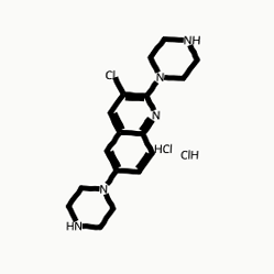 Cl.Cl.Clc1cc2cc(N3CCNCC3)ccc2nc1N1CCNCC1